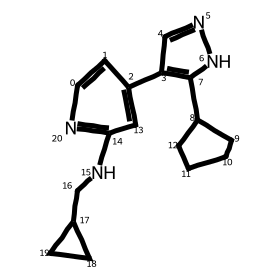 c1cc(-c2cn[nH]c2C2CCCC2)cc(NCC2CC2)n1